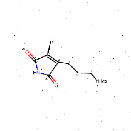 CCCCCCCCCC1=C(C)C(=O)NC1=O